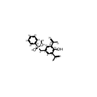 C=C(C)c1cc(CP(=O)(OC)c2ccccc2)cc(C(=C)C)c1O